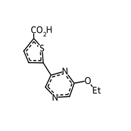 CCOc1cncc(-c2ccc(C(=O)O)s2)n1